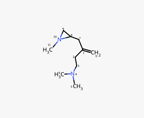 C=C(CCN(C)C)CC1CN1C